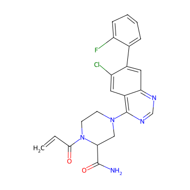 C=CC(=O)N1CCN(c2ncnc3cc(-c4ccccc4F)c(Cl)cc23)CC1C(N)=O